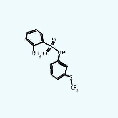 Nc1ccccc1S(=O)(=O)Nc1cccc(SC(F)(F)F)c1